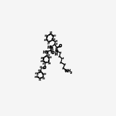 NCCCCCCNC(=O)C(Cc1ccccc1)NC(=O)Nc1ccc(OCc2ccccc2)cc1